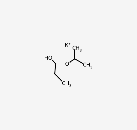 CC(C)[O-].CCCO.[K+]